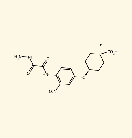 CC[C@]1(C(=O)O)CC[C@@H](Oc2ccc(NC(=O)C(=O)NN)c([N+](=O)[O-])c2)CC1